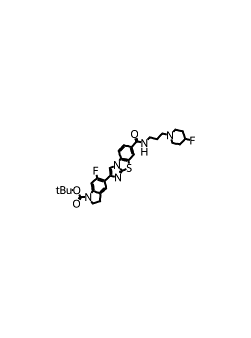 CC(C)(C)OC(=O)N1CCc2cc(-c3cn4c(n3)sc3cc(C(=O)NCCCN5CCC(F)CC5)ccc34)c(F)cc21